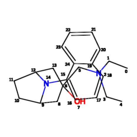 CCN(CC)CC1(O)CC2CCC(C1)N2c1cccc2ccccc12